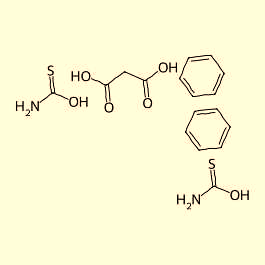 NC(O)=S.NC(O)=S.O=C(O)CC(=O)O.c1ccccc1.c1ccccc1